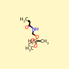 C=CC(=O)NCO[Si](C)(OC)OC